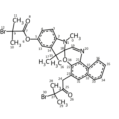 CN1c2ccc(OC(=O)C(C)(C)Br)cc2C(C)(C)C12C=Nc1c(c(CC(=O)C(C)(C)Br)cc3ccccc13)O2